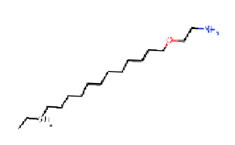 CC[SiH2]CCCCCCCCCCCCOCCN